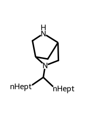 CCCCCCCC(CCCCCCC)N1CC2CC1CN2